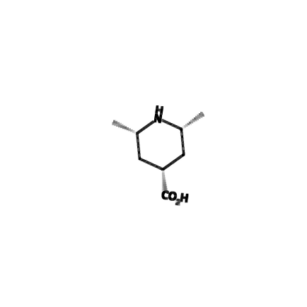 C[C@@H]1C[C@H](C(=O)O)C[C@H](C)N1